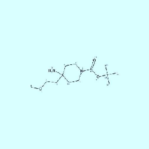 COCCC1(N)CCN(C(=O)OC(C)(C)C)CC1